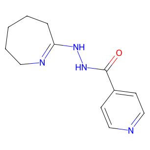 O=C(NNC1=NCCCCC1)c1ccncc1